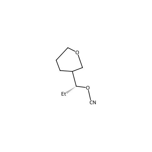 CC[C@@H](OC#N)C1CCCOC1